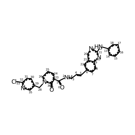 O=C(NCC=Cc1ccc2nc(Nc3ccccc3)ncc2c1)c1cccn(Cc2ccc(Cl)nc2)c1=O